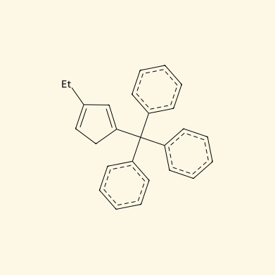 CCC1=CCC(C(c2ccccc2)(c2ccccc2)c2ccccc2)=C1